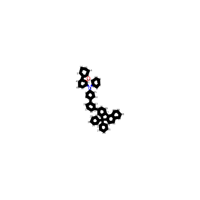 c1ccc(N(c2ccc(-c3cccc(-c4ccc5c(c4)C(c4ccccc4)(c4ccccc4)c4ccc6ccccc6c4-5)c3)cc2)c2cccc3c2oc2ccccc23)cc1